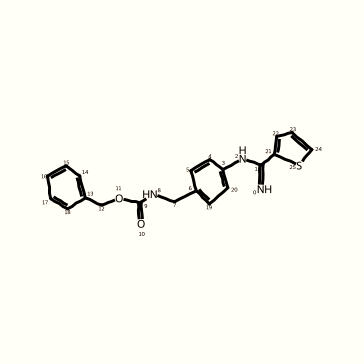 N=C(Nc1ccc(CNC(=O)OCc2ccccc2)cc1)c1cccs1